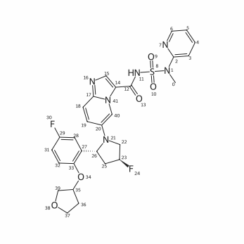 CN(c1ccccn1)S(=O)(=O)NC(=O)c1cnc2ccc(N3C[C@@H](F)C[C@@H]3c3cc(F)ccc3OC3CCOC3)cn12